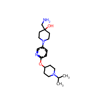 CC(C)N1CCC(Oc2ccc(N3CCC(O)(CN)CC3)cn2)CC1